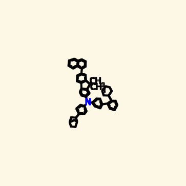 CC1(C)c2cc(-c3cccc4ccccc34)ccc2-c2ccc(N(c3ccc(-c4ccccc4C4CCCCC4)cc3)c3ccc(C4CC5CCC4C5)cc3)cc21